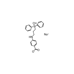 C[Si](CCCNc1ccc(C(=O)[O-])cc1)(c1ccccc1)c1ccccc1.[Na+]